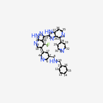 Fc1c(-c2cncc(CNCc3ccccc3)c2)cnc2[nH]nc(-c3nc4c(-c5ccncc5)nccc4[nH]3)c12